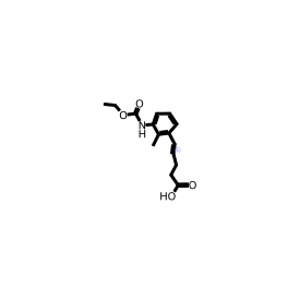 CCOC(=O)Nc1cccc(/C=C/CCC(=O)O)c1C